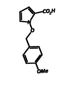 COc1ccc(COn2cccc2C(=O)O)cc1